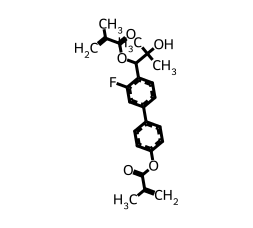 C=C(C)C(=O)Oc1ccc(-c2ccc(C(OC(=O)C(=C)C)C(C)(C)O)c(F)c2)cc1